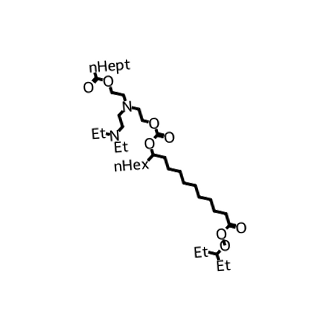 CCCCCCCC(=O)OCCN(CCOC(=O)OC(CCCCCC)CCCCCCCCCC(=O)OOC(CC)CC)CCN(CC)CC